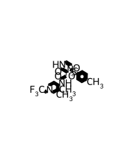 Cc1ccc(S(=O)(=O)N2C=CNC(=O)[C@H]2CC(=O)N[C@@H]2CCN(CC(F)(F)F)CC2(C)C)cc1